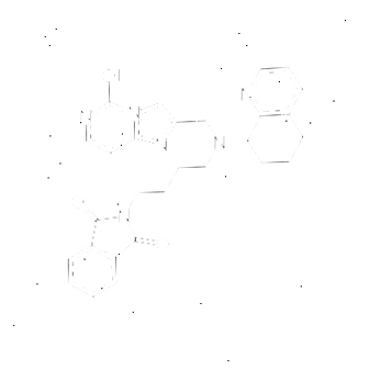 O=C1c2ccccc2C(=O)N1CCCCN(Cc1cn2c(O)nccc2n1)[C@H]1CCCc2cccnc21